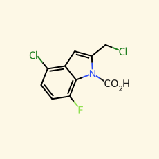 O=C(O)n1c(CCl)cc2c(Cl)ccc(F)c21